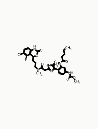 CCCCC(=O)Nc1cc(NC(=O)OC)ccc1-c1nc(CC(=O)N(C)CCCC2OC(=O)Nc3ccc(Cl)c(F)c32)[nH]c1C